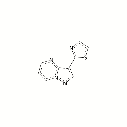 c1cnc2c(-c3nccs3)cnn2c1